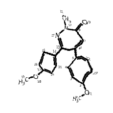 COc1ccc(-c2cc(=O)n(C)nc2-c2ccc(OC)cc2)cc1